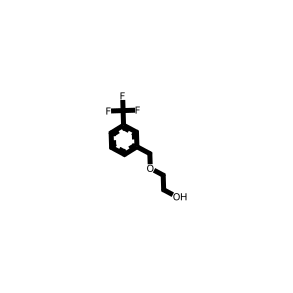 OCCOCc1cccc(C(F)(F)F)c1